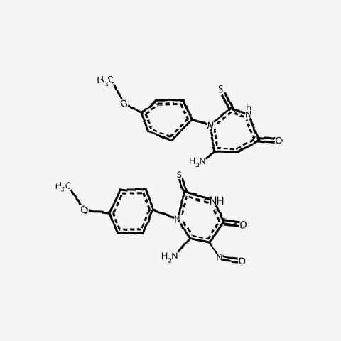 COc1ccc(-n2c(N)c(N=O)c(=O)[nH]c2=S)cc1.COc1ccc(-n2c(N)cc(=O)[nH]c2=S)cc1